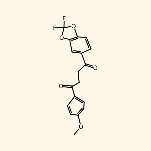 COc1ccc(C(=O)CCC(=O)c2ccc3c(c2)OC(F)(F)O3)cc1